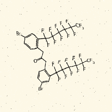 O=C(Cc1ccc(Br)cc1C(F)(F)C(F)(F)C(F)(F)C(F)(F)C(F)(F)C(F)(F)F)Cc1ccc(Br)cc1C(F)(F)C(F)(F)C(F)(F)C(F)(F)C(F)(F)C(F)(F)F